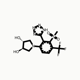 CS(=O)(=O)c1c(C(F)(F)F)ccc(N2C[C@@H](O)[C@H](O)C2)c1-c1nnn[nH]1